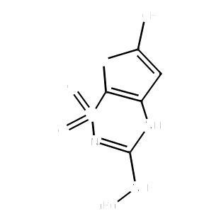 CCC(C)NC1=NS(=O)(=O)c2sc(C)cc2N1